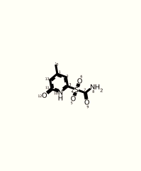 [CH2]c1cc(S(=O)(=O)C(N)=O)[nH]c(=O)c1